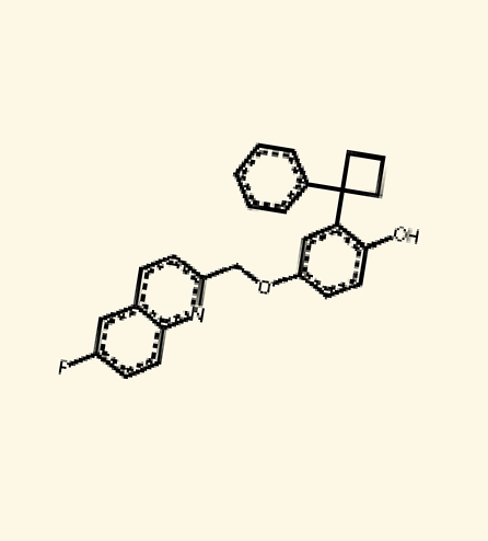 Oc1ccc(OCc2ccc3cc(F)ccc3n2)cc1C1(c2ccccc2)CCC1